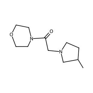 CC1CCN(CC(=O)N2CCOCC2)C1